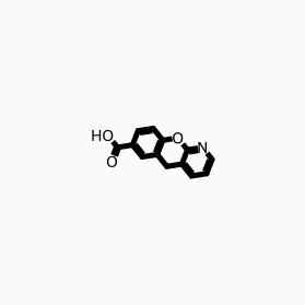 O=C(O)c1ccc2c(c1)Cc1cccnc1O2